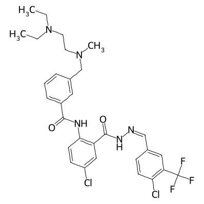 CCN(CC)CCN(C)Cc1cccc(C(=O)Nc2ccc(Cl)cc2C(=O)N/N=C\c2ccc(Cl)c(C(F)(F)F)c2)c1